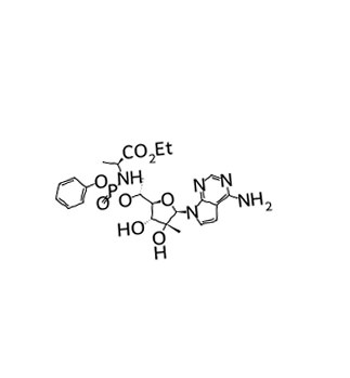 CCOC(=O)[C@H](C)NP(=O)(Oc1ccccc1)O[C@H](C)[C@H]1O[C@@H](n2ccc3c(N)ncnc32)[C@](C)(O)[C@@H]1O